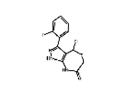 CC1SCC(=O)Nc2[nH]nc(-c3ccccc3F)c21